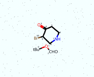 CC(C)(C)OC=O.O=C1CCNCC1Br